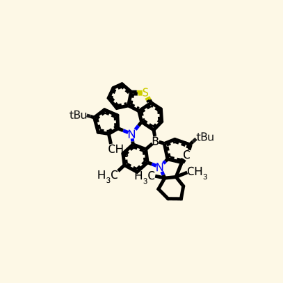 Cc1cc2c3c(c1)N1c4c(cc(C(C)(C)C)cc4C4(C)CCCCC14C)B3c1ccc3sc4ccccc4c3c1N2c1ccc(C(C)(C)C)cc1C